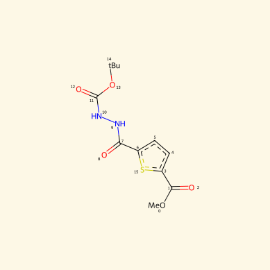 COC(=O)c1ccc(C(=O)NNC(=O)OC(C)(C)C)s1